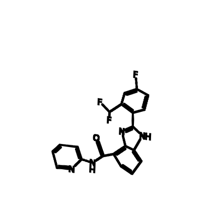 O=C(Nc1ccccn1)c1cccc2[nH]c(-c3ccc(F)cc3C(F)F)nc12